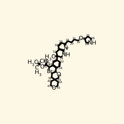 CC(C)(C)OC(=O)C(Br)c1cc(C2(C)CNc3nc(CCCCO[C@@H]4CCNC4)ccc3C2)ccc1C1CCC2(CCOCC2)CO1